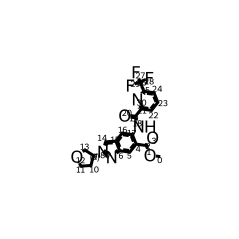 COC(=O)c1cc2nn([C@@H]3CCOC3)cc2cc1NC(=O)c1cccc(C(F)(F)F)n1